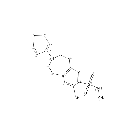 CNS(=O)(=O)c1cc2c(cc1O)CCN(c1ccccc1)CC2